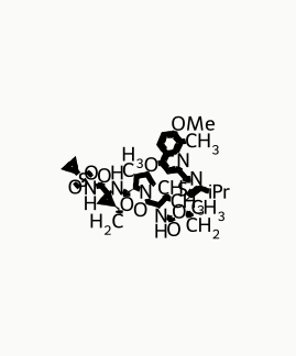 C=C[C@@H]1C[C@]1(NC(=O)[C@@H]1[C@H](C)[C@@H](Oc2cc(-c3nc(C(C)C)cs3)nc3c(C)c(OC)ccc23)CN1C(=O)[C@@H](NC(=O)OC(=C)C)C(=C)C)C(=O)NS(=O)(=O)C1CC1